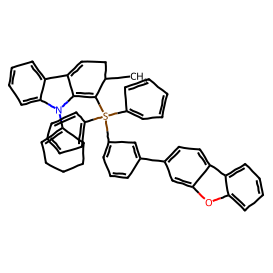 CC1CC=c2c(n(C3=CCCCC3)c3ccccc23)=C1S(c1ccccc1)(c1ccccc1)c1cccc(-c2ccc3c(c2)oc2ccccc23)c1